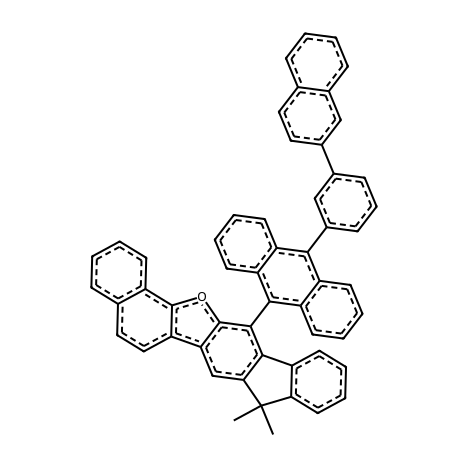 CC1(C)c2ccccc2-c2c1cc1c(oc3c4ccccc4ccc13)c2-c1c2ccccc2c(-c2cccc(-c3ccc4ccccc4c3)c2)c2ccccc12